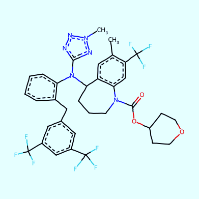 Cc1cc2c(cc1C(F)(F)F)N(C(=O)OC1CCOCC1)CCCC2N(c1nnn(C)n1)c1ccccc1Cc1cc(C(F)(F)F)cc(C(F)(F)F)c1